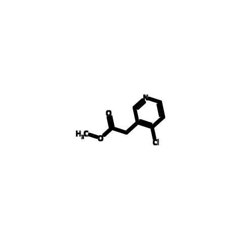 COC(=O)Cc1cnccc1Cl